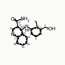 Cc1c(CO)cccc1Nc1c(C(N)=O)cnc2ccccc12